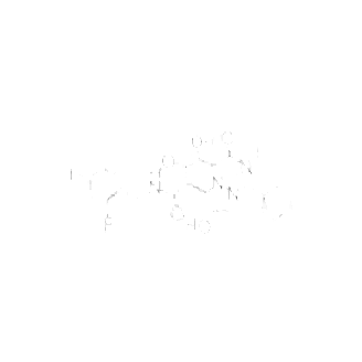 CCN1C(=O)c2c(O)c(=O)c(C(=O)NCc3ccc(F)cc3F)c3n2N(CC3O)C1c1ccccc1